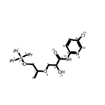 CC(CO[Si](C(C)C)(C(C)C)C(C)C)OCC(O)C(=O)Nc1ccc(Cl)cn1